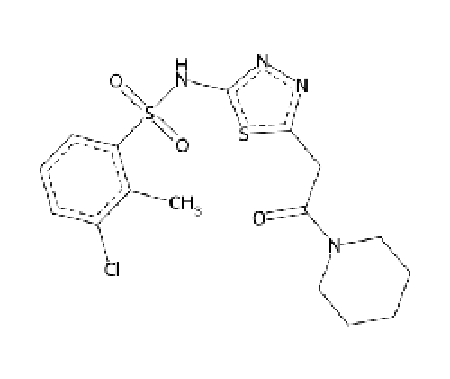 Cc1c(Cl)cccc1S(=O)(=O)Nc1nnc(CC(=O)N2CCCCC2)s1